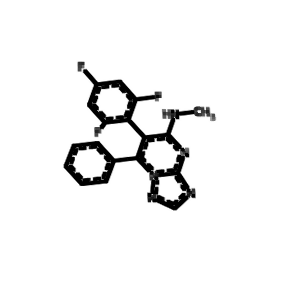 CNc1nc2ncnn2c(-c2ccccc2)c1-c1c(F)cc(F)cc1F